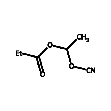 CCC(=O)OC(C)OC#N